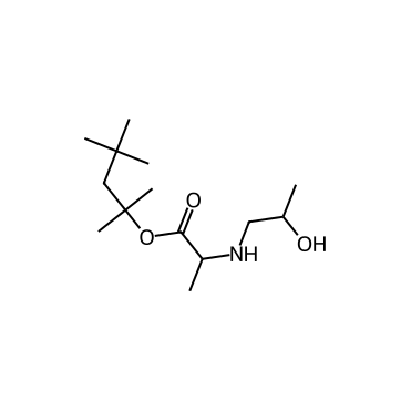 CC(O)CNC(C)C(=O)OC(C)(C)CC(C)(C)C